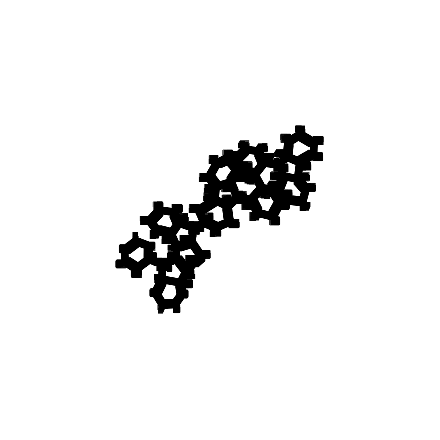 c1ccc(-n2c3ccccc3c3ccc4c(c5ccccc5n4-c4ccc5c(c4)c4ccccc4n5-c4ccccc4-c4ccccc4-n4c5ccccc5c5ccccc54)c32)cc1